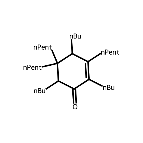 CCCCCC1=C(CCCC)C(=O)C(CCCC)C(CCCCC)(CCCCC)C1CCCC